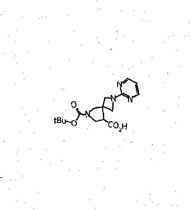 CC(C)(C)OC(=O)N1CC(C(=O)O)C2(C1)CN(c1ncccn1)C2